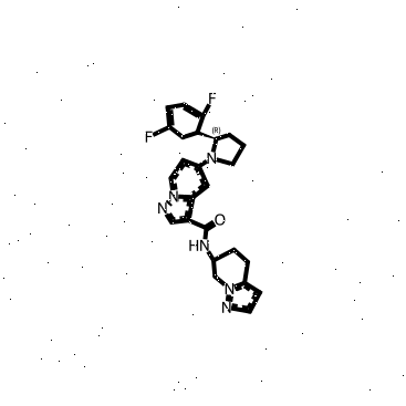 O=C(NC1CCc2ccnn2C1)c1cnn2ccc(N3CCC[C@@H]3C3CC(F)=CC=C3F)cc12